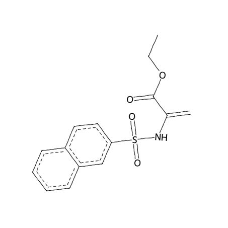 C=C(NS(=O)(=O)c1ccc2ccccc2c1)C(=O)OCC